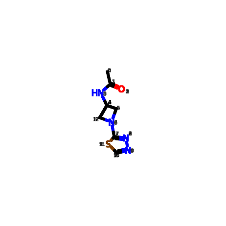 CC(=O)NC1CN(c2nncs2)C1